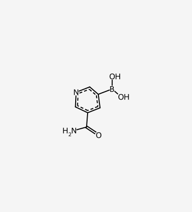 NC(=O)c1cncc(B(O)O)c1